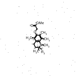 COC(=O)COc1c(C)c(C)c2c(c1C)CCC(C)(C)N2C